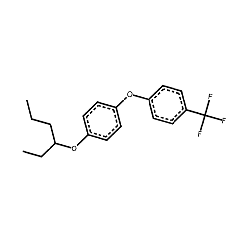 CCCC(CC)Oc1ccc(Oc2ccc(C(F)(F)F)cc2)cc1